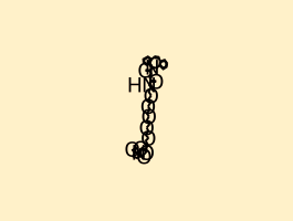 O=C(CCC(=O)N1Cc2ccccc2C#Cc2ccccc21)NCCOCCOCCOCCOCCOCCC(=O)ON1C(=O)CCC1=O